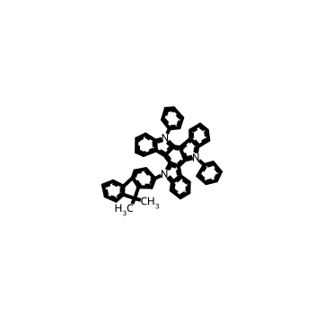 CC1(C)c2ccccc2-c2ccc(-n3c4ccccc4c4c5c(c6ccccc6n5-c5ccccc5)c5c(c6ccccc6n5-c5ccccc5)c43)cc21